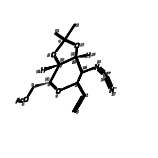 C=CC1O[C@H](COC(C)=O)[C@@H]2OC(C)(C)O[C@@H]2C1N=[N+]=[N-]